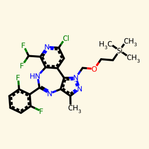 Cc1nn(COCC[Si](C)(C)C)c2c1N=C(c1c(F)cccc1F)Nc1c-2cc(Cl)nc1C(F)F